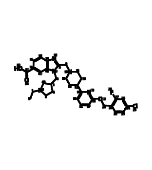 CCN1CCC(Cn2c(CN3CCC(c4cccc(OCc5ccc(Cl)cc5F)n4)CC3)nc3ccc(C(=O)O)cc32)C1